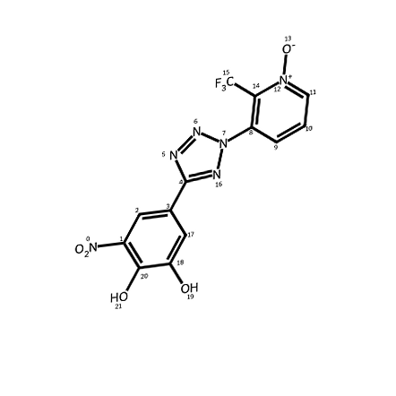 O=[N+]([O-])c1cc(-c2nnn(-c3ccc[n+]([O-])c3C(F)(F)F)n2)cc(O)c1O